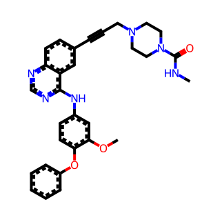 CNC(=O)N1CCN(CC#Cc2ccc3ncnc(Nc4ccc(Oc5ccccc5)c(OC)c4)c3c2)CC1